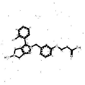 CN1Cc2nn(Cc3cccc(OCCC(=O)O)c3)c(-c3ccccc3F)c2C1